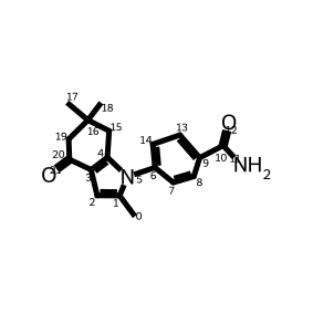 Cc1cc2c(n1-c1[c]cc(C(N)=O)cc1)CC(C)(C)CC2=O